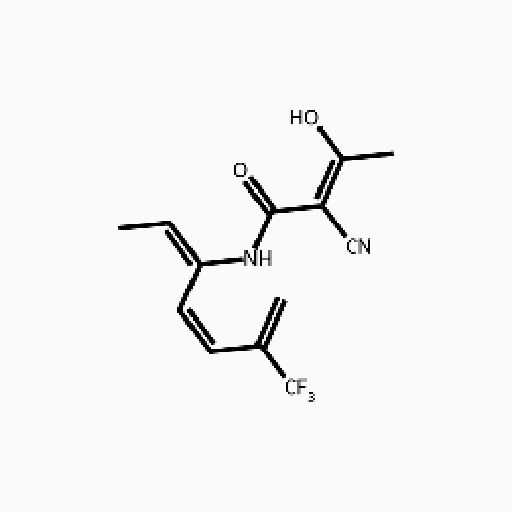 C=C(/C=C\C(=C/C)NC(=O)/C(C#N)=C(/C)O)C(F)(F)F